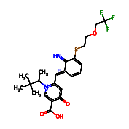 CC(n1cc(C(=O)O)c(=O)cc1/C=C1\C=CC=C(SCCOCC(F)(F)F)C1=N)C(C)(C)C